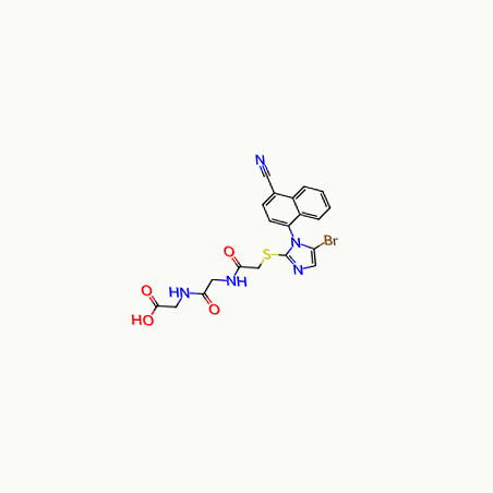 N#Cc1ccc(-n2c(Br)cnc2SCC(=O)NCC(=O)NCC(=O)O)c2ccccc12